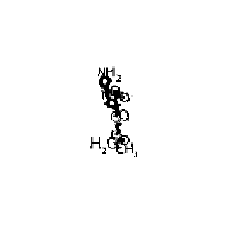 C=C(C)C(=O)OCCCOC(=O)c1ccc(N=Nc2ccc(N)cc2)c([N+](=O)[O-])c1